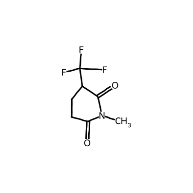 CN1C(=O)CCC(C(F)(F)F)C1=O